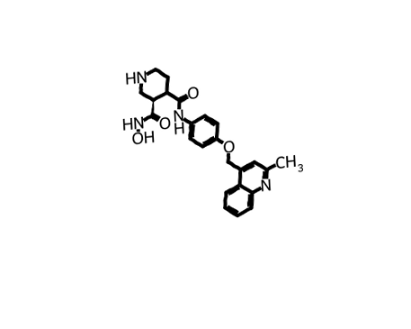 Cc1cc(COc2ccc(NC(=O)C3CCNC[C@@H]3C(=O)NO)cc2)c2ccccc2n1